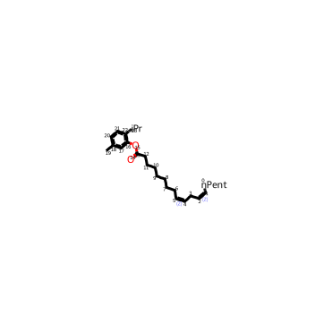 CCCCC/C=C\C/C=C\CCCCCCCC(=O)Oc1cc(C)ccc1C(C)C